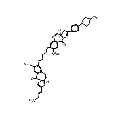 COc1cc2c(cc1OCCCOc1cc3c(cc1OC)C(=O)N1C=C(c4ccc(N5CCN(C)CC5)cc4)C[C@H]1C=N3)N=C[C@@H]1CC(C=CCN)=CN1C2=O